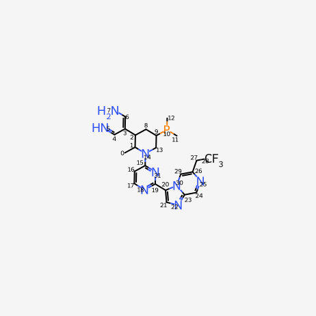 CC1C(/C(C=N)=C/N)CC(P(C)C)CN1c1ccnc(-c2cnc3cnc(CC(F)(F)F)cn23)n1